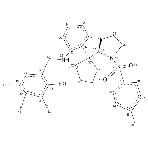 C=C1CCC[C@]1(c1ccccc1NCc1cc(F)c(F)c(F)c1F)[C@H]1CCCN1S(=O)(=O)c1ccc(C)cc1